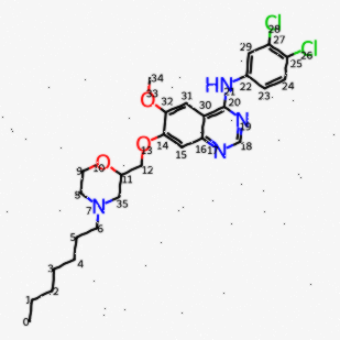 CCCCCCCN1CCOC(COc2cc3ncnc(Nc4ccc(Cl)c(Cl)c4)c3cc2OC)C1